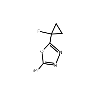 CC(C)c1nnc(C2(F)CC2)o1